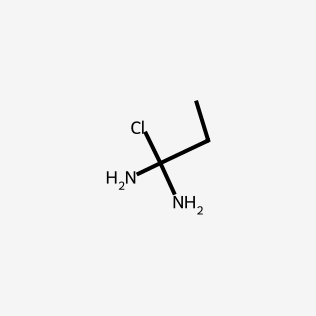 CCC(N)(N)Cl